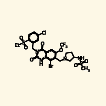 CCS(=O)(=O)c1ccc(Cl)cc1Cn1c(=O)[nH]c2c(Br)c(CN3CCC(NS(C)(=O)=O)C3)c(OC(F)(F)F)cc2c1=O